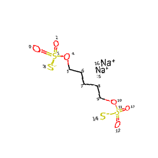 O=S(=O)([S-])OCCCCCOS(=O)(=O)[S-].[Na+].[Na+]